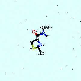 CCC1=N[C@H](C(=O)N(C)OC)CS1